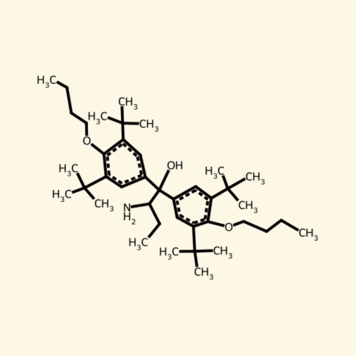 CCCCOc1c(C(C)(C)C)cc(C(O)(c2cc(C(C)(C)C)c(OCCCC)c(C(C)(C)C)c2)C(N)CC)cc1C(C)(C)C